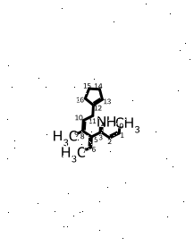 C/C=C\C(=N)C(=C/C)/C(C)=C\CC1=CCCC1